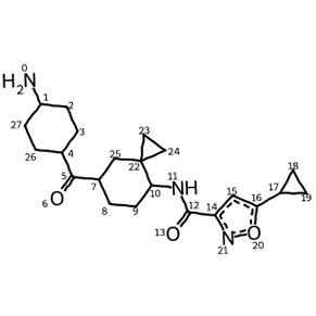 NC1CCC(C(=O)C2CCC(NC(=O)c3cc(C4CC4)on3)C3(CC3)C2)CC1